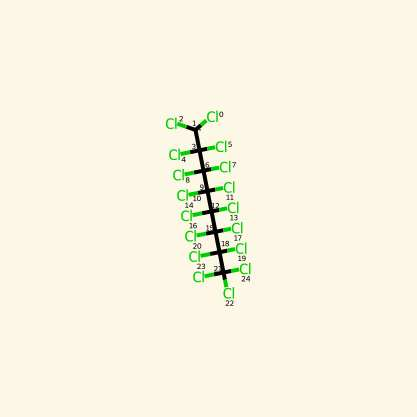 Cl[C](Cl)C(Cl)(Cl)C(Cl)(Cl)C(Cl)(Cl)C(Cl)(Cl)C(Cl)(Cl)C(Cl)(Cl)C(Cl)(Cl)Cl